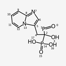 O=PC(O)(Cc1cnc2ccccn12)P(=O)(O)O